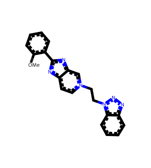 COc1ccccc1-c1nc2ccn(CCn3nnc4ccccc43)cc-2n1